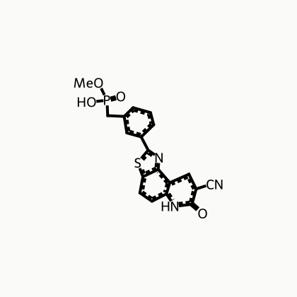 COP(=O)(O)Cc1cccc(-c2nc3c(ccc4[nH]c(=O)c(C#N)cc43)s2)c1